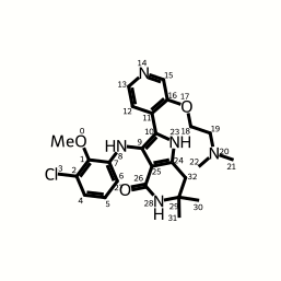 COc1c(Cl)cccc1Nc1c(-c2ccncc2OCCN(C)C)[nH]c2c1C(=O)NC(C)(C)C2